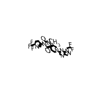 CN1C(=O)N(c2ccc(C(F)(F)F)nc2)C(=O)C12CCN(c1cnc3cnn(CC(F)F)c3n1)CC2